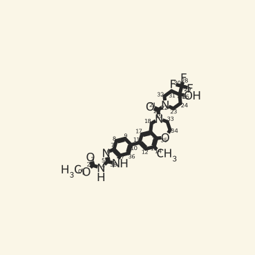 COC(=O)Nc1nc2ccc(-c3cc(C)c4c(c3)CN(C(=O)N3CCC(O)(C(F)(F)F)CC3)CCO4)cc2[nH]1